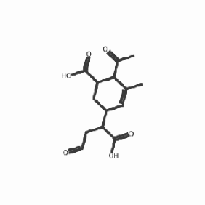 CC(=O)C1C(C)=CC(C(CC=O)C(=O)O)CC1C(=O)O